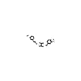 O=C(/C=C/c1cc(Cl)cc(OC(F)(F)F)c1)N1C[C@@H]2CN(C(=O)c3ccc4[nH]nnc4c3)C[C@H]2C1